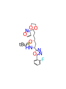 CC(C)(C)[S@@+]([O-])NC(CCCCCC1(c2ccon2)OCCO1)c1nnc(-c2ccccc2F)o1